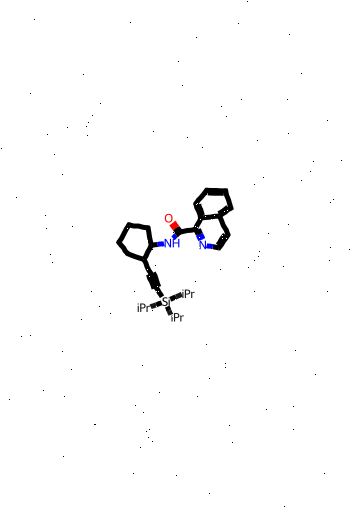 CC(C)[Si](C#CC1CCCCC1NC(=O)c1nccc2ccccc12)(C(C)C)C(C)C